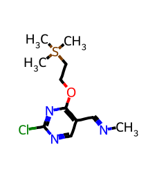 C/N=C/c1cnc(Cl)nc1OCCS(C)(C)C